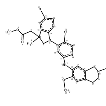 COC(=O)CC1(C)CN(c2nc(Nc3cc4c(cc3OC)CCN(C)C4)ncc2Cl)c2ccc(F)cc21